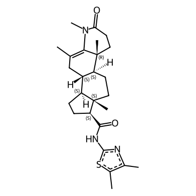 CC1=C2N(C)C(=O)CC[C@]2(C)[C@H]2CC[C@]3(C)[C@@H](C(=O)Nc4nc(C)c(C)s4)CC[C@H]3[C@@H]2C1